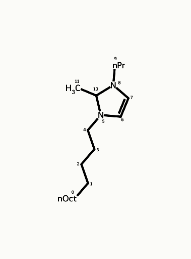 CCCCCCCCCCCCN1C=CN(CCC)C1C